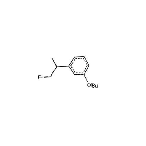 C[C](CF)c1cccc(OCC(C)C)c1